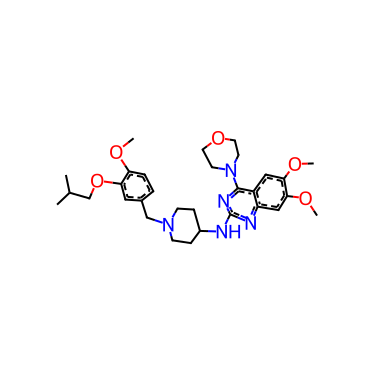 COc1cc2nc(NC3CCN(Cc4ccc(OC)c(OCC(C)C)c4)CC3)nc(N3CCOCC3)c2cc1OC